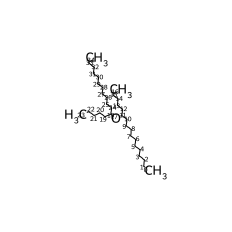 CCCCCCCCCCCC(CCCCC)OC(CCCCC)CCCCCCCCCCC